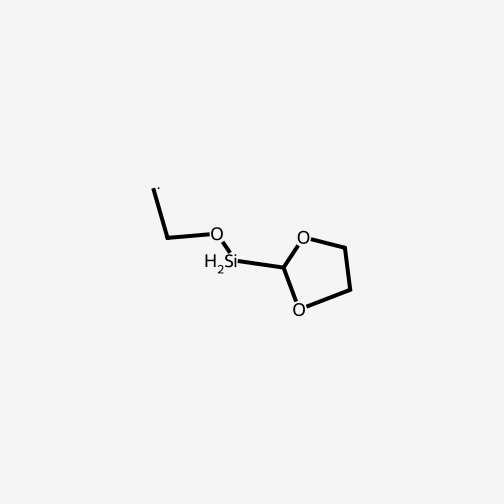 [CH2]CO[SiH2]C1OCCO1